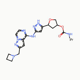 CC(C)NC(=O)OC1COC(c2cc(Nc3nccn4nc(CN5CCC5)cc34)n[nH]2)C1